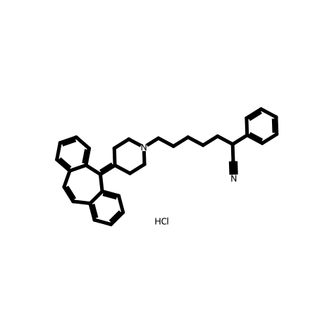 Cl.N#CC(CCCCCN1CCC(=C2c3ccccc3C=Cc3ccccc32)CC1)c1ccccc1